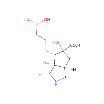 C[C@H]1NC[C@@H]2CC(N)(C(=O)O)[C@@H](CCCB(O)O)[C@@H]21